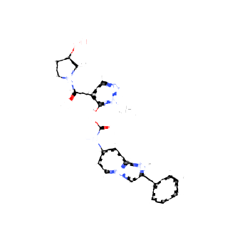 Cn1ncc(C(=O)N2CCC(O)C2)c1OC(=O)Nc1ccn2cc(-c3ccccc3)nc2c1